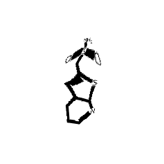 NS(=O)(=O)C1=CC2CCC=NC2S1